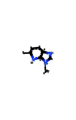 Cc1ccc2ncn(C(C)C)c2n1